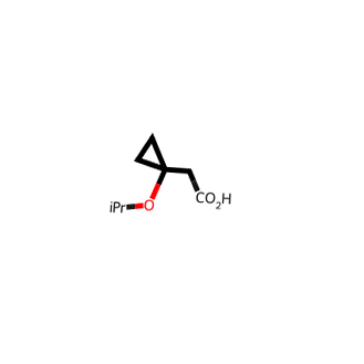 CC(C)OC1(CC(=O)O)CC1